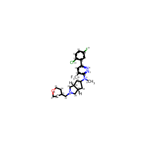 CN(c1nnc(-c2cc(F)ccc2Cl)cc1C(F)(F)F)C1C[C@@H]2CN(CC3CCOCC3)C[C@@H]2C1